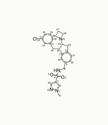 Cn1cc(S(=O)(=O)NCc2ccc3c(c2)C(Cc2cccc(Cl)c2)C(N2CCC2)C3)cn1